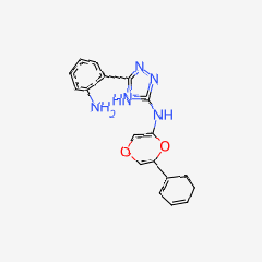 Nc1ccccc1-c1nnc(NC2=COC=C(C3=CC=CCC3)O2)[nH]1